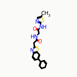 Cc1cnc(NC(=O)CNC(=O)Cc2nc3ccc(C4=CCCC=C4)cc3s2)s1